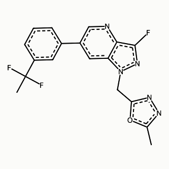 Cc1nnc(Cn2nc(F)c3ncc(-c4cccc(C(C)(F)F)c4)cc32)o1